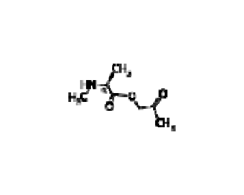 CN[C@@H](C)C(=O)OCC(C)=O